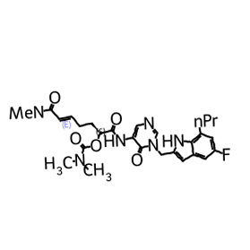 CCCc1cc(F)cc2cc(Cn3cncc(NC(=O)[C@H](CC/C=C/C(=O)NC)OC(=O)N(C)C)c3=O)[nH]c12